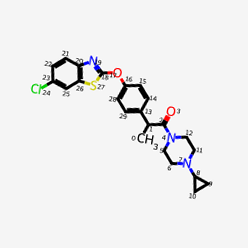 CC(C(=O)N1CCN(C2CC2)CC1)c1ccc(Oc2nc3ccc(Cl)cc3s2)cc1